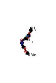 COc1ccc(OCCOc2ccc(CN3CCN(C(=O)/C=C/c4cc(C)c(Oc5ccc(OCc6ccc(C)cc6)cn5)c(Cl)c4)CC3)cc2)cc1